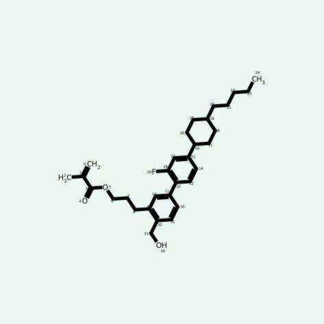 C=C(C)C(=O)OCCCc1cc(-c2ccc(C3CCC(CCCCC)CC3)cc2F)ccc1CO